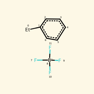 CCc1[c]cccc1.F[B-](F)(F)F